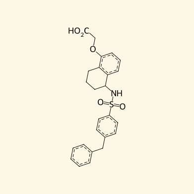 O=C(O)COc1cccc2c1CCCC2NS(=O)(=O)c1ccc(Cc2ccccc2)cc1